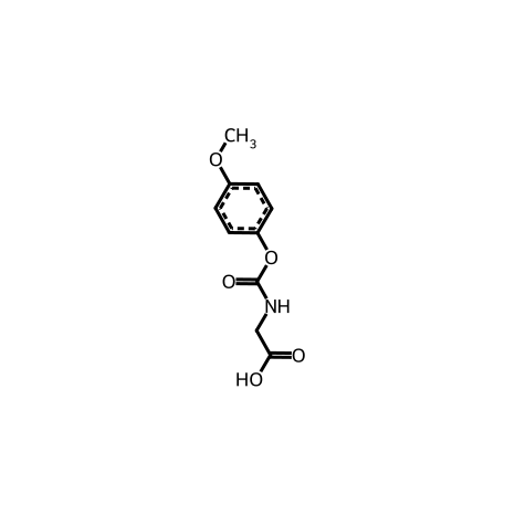 COc1ccc(OC(=O)NCC(=O)O)cc1